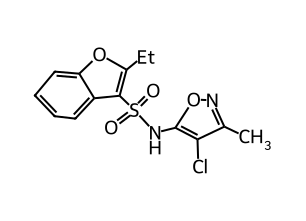 CCc1oc2ccccc2c1S(=O)(=O)Nc1onc(C)c1Cl